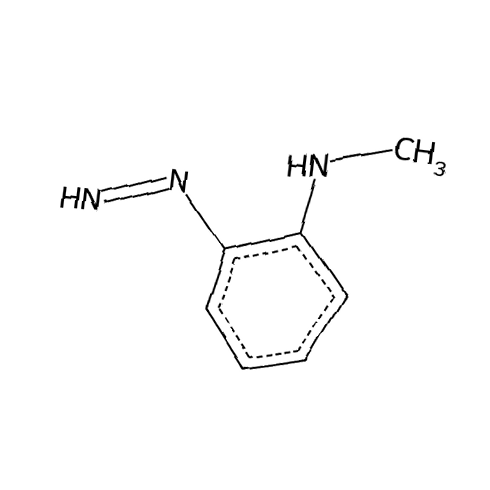 CNc1ccccc1N=N